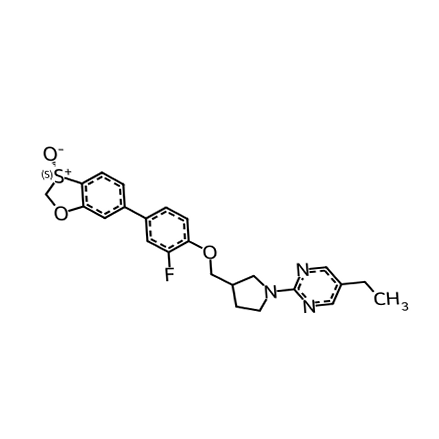 CCc1cnc(N2CCC(COc3ccc(-c4ccc5c(c4)OC[S@+]5[O-])cc3F)C2)nc1